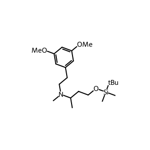 COc1cc(CCN(C)C(C)CCO[Si](C)(C)C(C)(C)C)cc(OC)c1